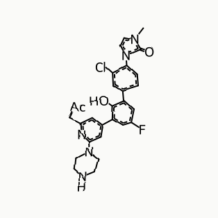 CC(=O)Cc1cc(-c2cc(F)cc(-c3ccc(-n4ccn(C)c4=O)c(Cl)c3)c2O)cc(N2CCNCC2)n1